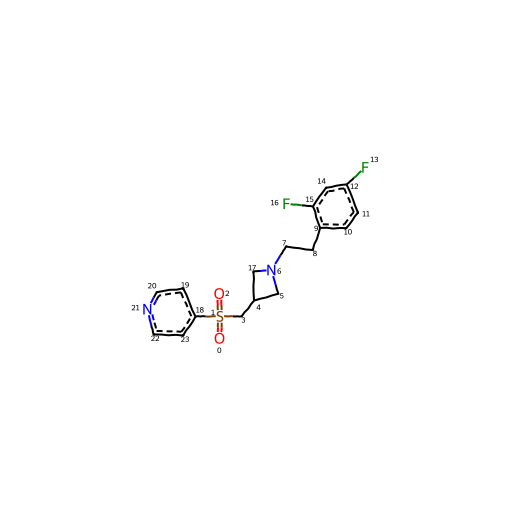 O=S(=O)(CC1CN(CCc2ccc(F)cc2F)C1)c1ccncc1